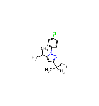 CC(C)c1cc(C(C)(C)C)nn1-c1ccc(Cl)cc1